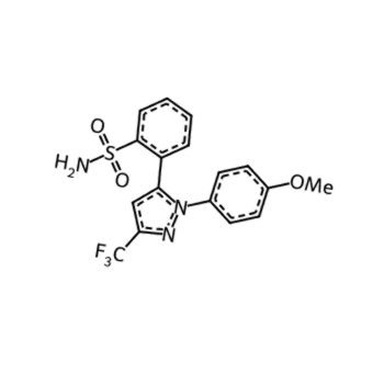 COc1ccc(-n2nc(C(F)(F)F)cc2-c2ccccc2S(N)(=O)=O)cc1